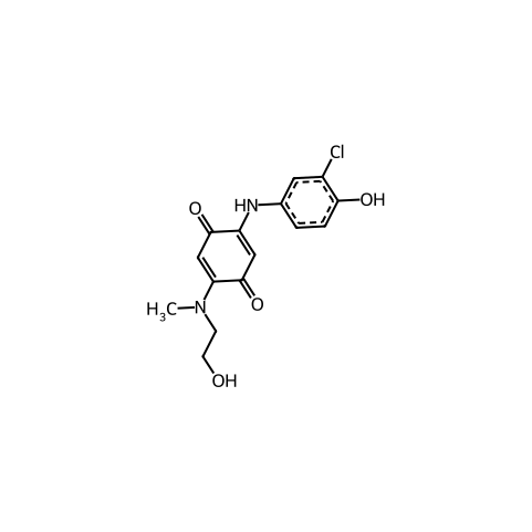 CN(CCO)C1=CC(=O)C(Nc2ccc(O)c(Cl)c2)=CC1=O